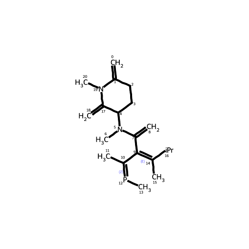 C=C1CCC(N(C)C(=C)C(/C(C)=P\C)=C(/C)C(C)C)C(=C)N1C